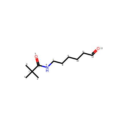 CC(C)(C)C(=O)NCCCCC[C]=O